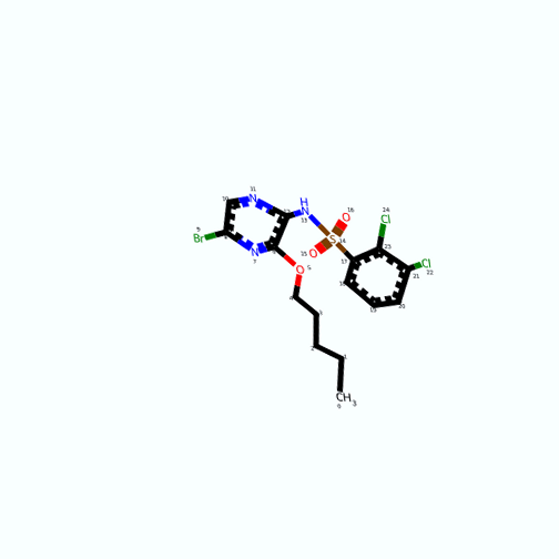 CCCCCOc1nc(Br)cnc1NS(=O)(=O)c1cccc(Cl)c1Cl